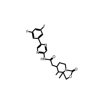 CC1C(CC(=O)Nc2cnc(-c3cc(F)cc(F)c3)cn2)CCN2C(=O)OCC12C